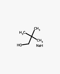 CC(C)(C)CO.[NaH]